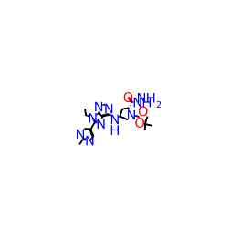 CCn1c(-c2cnc(C)nc2)nc2c(NC3C[C@H](C(=O)NN)N(C(=O)OC(C)(C)C)C3)ncnc21